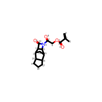 C=C(C)C(=O)OCC(=O)N1C(=O)C2C3CC(C4CCCC43)C21